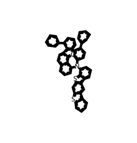 c1ccc(-c2ccc(N(c3cccc4c3sc3cc5sc6ccccc6c5cc34)c3cccc4ccc5c(oc6cccc(-c7ccccc7)c65)c34)cc2)cc1